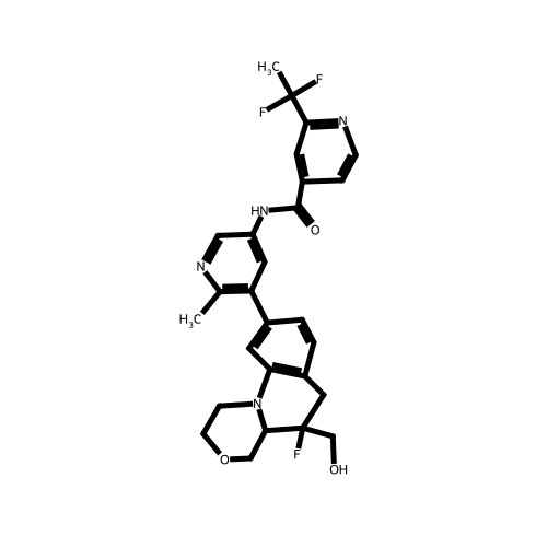 Cc1ncc(NC(=O)c2ccnc(C(C)(F)F)c2)cc1-c1ccc2c(c1)N1CCOCC1C(F)(CO)C2